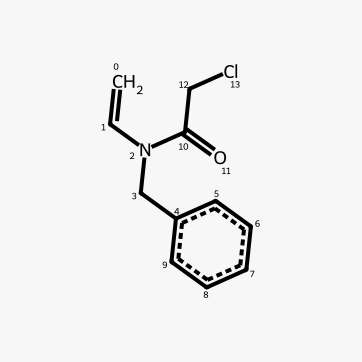 C=CN(Cc1ccccc1)C(=O)CCl